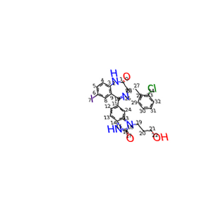 O=C1Nc2ccc(I)cc2C(c2ccc3[nH]c(=O)n(CCCO)c3c2)=N[C@H]1Cc1ccccc1Cl